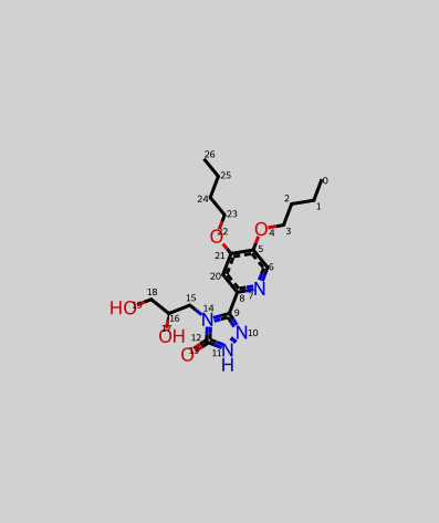 CCCCOc1cnc(-c2n[nH]c(=O)n2C[C@@H](O)CO)cc1OCCCC